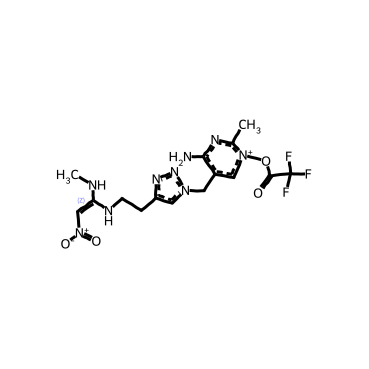 CN/C(=C/[N+](=O)[O-])NCCc1cn(Cc2c[n+](OC(=O)C(F)(F)F)c(C)nc2N)nn1